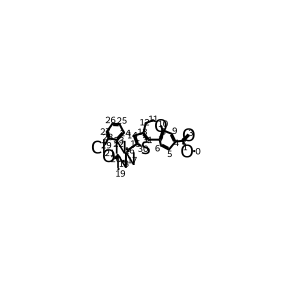 COC(=O)c1ccc2c(c1)OCCc1cc(-c3nn(C)c(=O)n3-c3ccccc3Cl)sc1-2